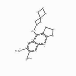 COc1cc2nc3c(c(NC4CC5(CCC5)C4)c2cc1OC)CCC3